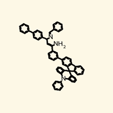 N/C(=C\C(/N=C/c1ccccc1)c1ccc(-c2ccccc2)cc1)c1cccc(-c2ccc3c(c2)C2(c4ccccc4-3)c3ccccc3N(c3ccccc3)c3ccccc32)c1